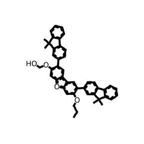 CCCOc1cc2oc3cc(OCO)c(-c4ccc5c(c4)C(C)(C)c4ccccc4-5)cc3c2cc1-c1ccc2c(c1)C(C)(C)c1ccccc1-2